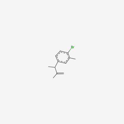 C=C(C)C(C)c1ccc(Br)c(C)c1